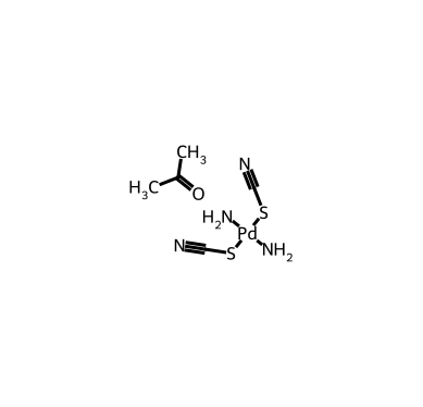 CC(C)=O.N#C[S][Pd]([NH2])([NH2])[S]C#N